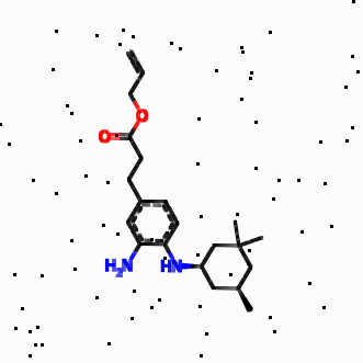 C=CCOC(=O)CCc1ccc(N[C@@H]2C[C@H](C)CC(C)(C)C2)c(N)c1